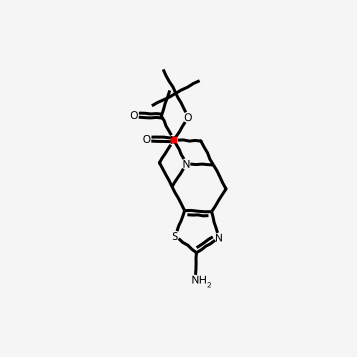 CC(=O)N1CC2Cc3nc(N)sc3C(C1)N2C(=O)OC(C)(C)C